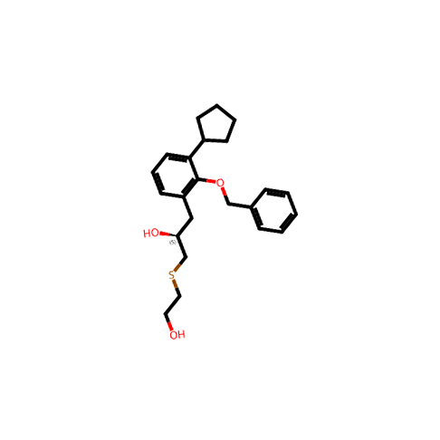 OCCSC[C@@H](O)Cc1cccc(C2CCCC2)c1OCc1ccccc1